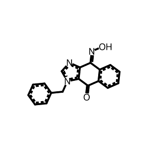 O=C1c2ccccc2C(=NO)c2ncn(Cc3ccccc3)c21